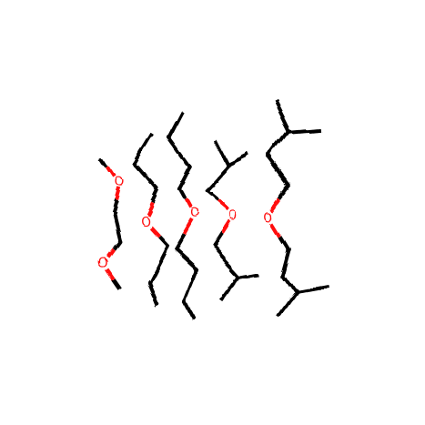 CC(C)CCOCCC(C)C.CC(C)COCC(C)C.CCCCOCCCC.CCCOCCC.COCCOC